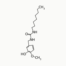 CCCCCCCCNC(=O)NCc1ccc(OC)c(O)c1